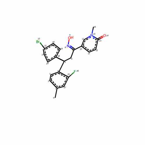 Cc1ccc(C(CC(=NO)c2ccc(=O)n(C)c2)c2ccc(Br)cc2)c(F)c1